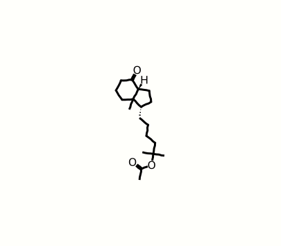 CC(=O)OC(C)(C)CCCC[C@H]1CC[C@H]2C(=O)CCCC12C